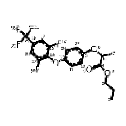 CCCOC(=O)C(C)Oc1ccc(Oc2c(F)cc(C(F)(F)F)cc2F)cc1